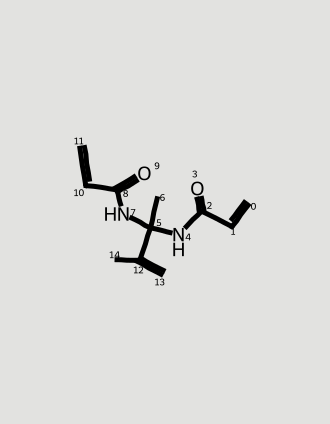 C=CC(=O)NC(C)(NC(=O)C=C)C(=C)C